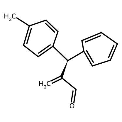 C=C(C=O)[C@H](c1ccccc1)c1ccc(C)cc1